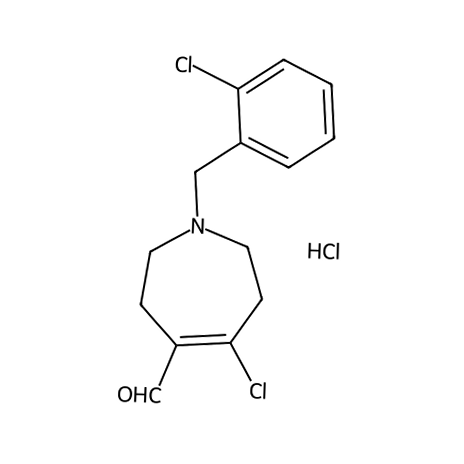 Cl.O=CC1=C(Cl)CCN(Cc2ccccc2Cl)CC1